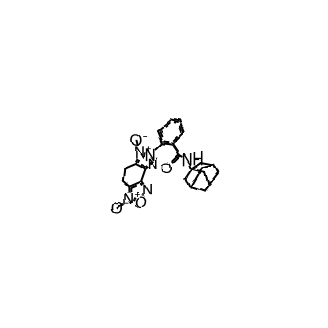 O=C(NC12CC3CC(CC(C3)C1)C2)c1ccccc1-n1nc2c([n+]1[O-])CCc1c-2no[n+]1[O-]